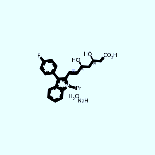 CC(C)n1c(/C=C/[C@@H](O)C[C@@H](O)CC(=O)O)c(-c2ccc(F)cc2)c2ccccc21.O.[NaH]